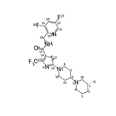 C[C@@H]1CCCN(C2CCN(c3nc(C(F)(F)F)c(C(=O)NCc4ncc(F)cc4F)s3)CC2)C1